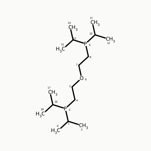 CC(C)P(CCOCCP(C(C)C)C(C)C)C(C)C